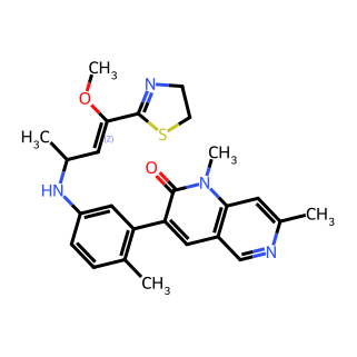 CO/C(=C\C(C)Nc1ccc(C)c(-c2cc3cnc(C)cc3n(C)c2=O)c1)C1=NCCS1